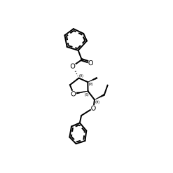 CC[C@@H](OCc1ccccc1)[C@H]1OC[C@H](OC(=O)c2ccccc2)[C@H]1C